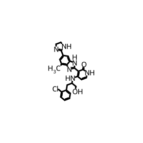 Cc1cc(C2=NCCN2)cc2[nH]c(-c3c(NC(CO)Cc4ccccc4Cl)cc[nH]c3=O)nc12